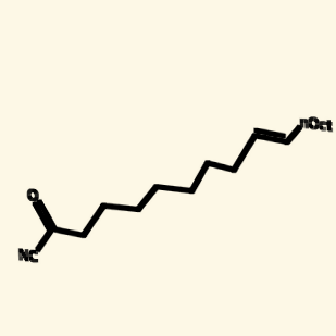 CCCCCCCC/C=C/CCCCCCCC(=O)C#N